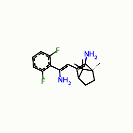 CC1(C)C2CC[C@]1(C)C(N)=C2/C=C(\N)c1c(F)cccc1F